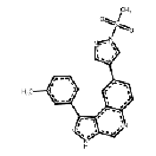 Cc1cccc(-c2n[nH]c3cnc4ccc(-c5cnn(S(C)(=O)=O)c5)cc4c23)c1